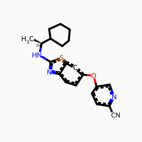 C[C@H](Nc1nc2ccc(Oc3ccc(C#N)nc3)cc2s1)C1CCCCC1